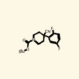 CC(C)(C)OC(=O)N1CCC(C#N)(c2cc(F)ccc2F)CC1